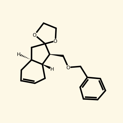 C1=CC[C@@H]2[C@@H](C1)CC1(OCCO1)[C@H]2COCc1ccccc1